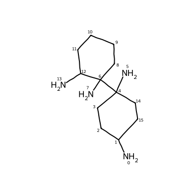 NC1CCC(N)(C2(N)CCCCC2N)CC1